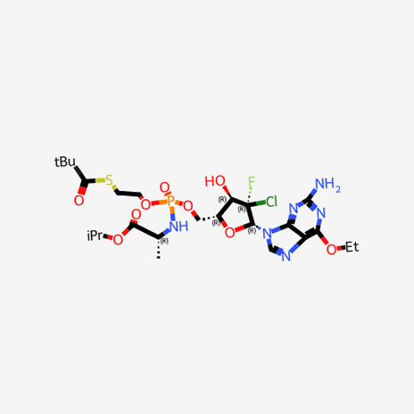 CCOc1nc(N)nc2c1ncn2[C@@H]1O[C@H](COP(=O)(N[C@H](C)C(=O)OC(C)C)OCCSC(=O)C(C)(C)C)[C@@H](O)[C@@]1(F)Cl